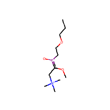 CCCOCC[P+]([O-])=C(C[N+](C)(C)C)OC